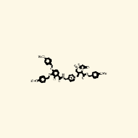 COc1ccc(COC(=O)C2=C(C[N+]34CCC(CNC(=O)c5ccc(OCc6ccc(OC)cc6)c(OCc6ccc(OC)cc6)c5Cl)(CC3)CC4)C[S+]([O-])[C@@H]3CC(=O)N23)cc1